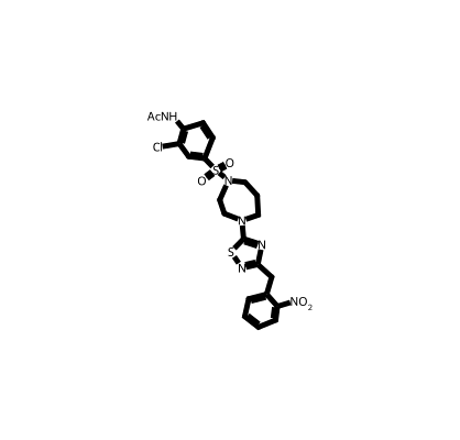 CC(=O)Nc1ccc(S(=O)(=O)N2CCCN(c3nc(Cc4ccccc4[N+](=O)[O-])ns3)CC2)cc1Cl